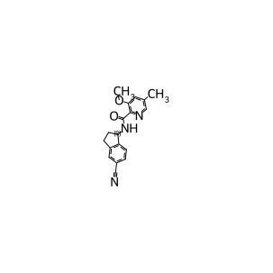 COc1cc(C)cnc1C(=O)N[C@@H]1CCc2cc(C#N)ccc21